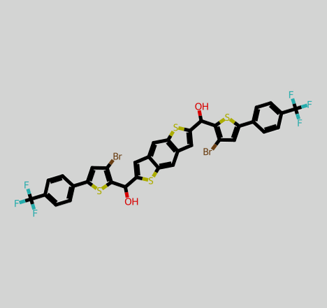 OC(c1cc2cc3sc(C(O)c4sc(-c5ccc(C(F)(F)F)cc5)cc4Br)cc3cc2s1)c1sc(-c2ccc(C(F)(F)F)cc2)cc1Br